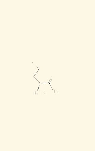 CC(=O)CC[C@H](NC(C)=O)C(=O)C(C)C